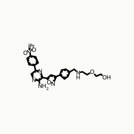 CC(C)S(=O)(=O)c1ccc(-c2cnc(N)c(-c3cc(-c4ccc(CNCCOCCO)cc4)no3)n2)cc1